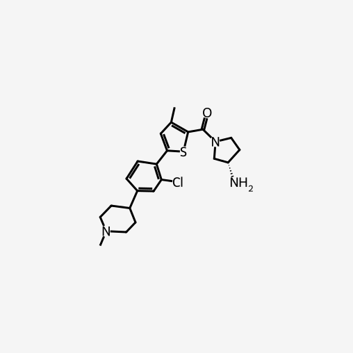 Cc1cc(-c2ccc(C3CCN(C)CC3)cc2Cl)sc1C(=O)N1CC[C@H](N)C1